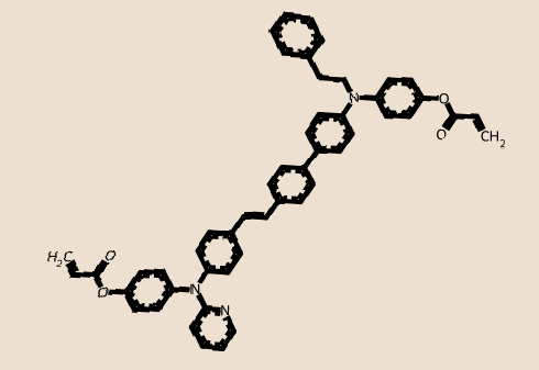 C=CC(=O)Oc1ccc(N(CCc2ccccc2)c2ccc(-c3ccc(C=Cc4ccc(N(c5ccc(OC(=O)C=C)cc5)c5ccccn5)cc4)cc3)cc2)cc1